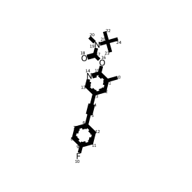 Cc1cc(C#Cc2ccc(F)cc2)cnc1OC(=O)N(C)C(C)(C)C